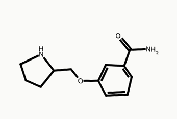 NC(=O)c1cccc(OCC2CCCN2)c1